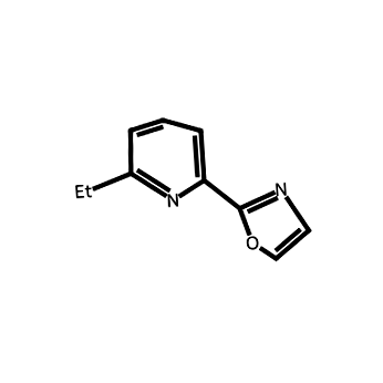 CCc1cccc(-c2ncco2)n1